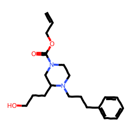 C=CCOC(=O)N1CCN(CCCc2ccccc2)C(CCCO)C1